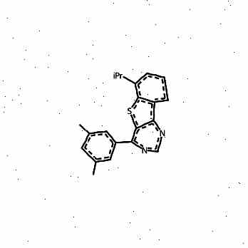 Cc1cc(C)cc(-c2ncnc3c2sc2c(C(C)C)cccc23)c1